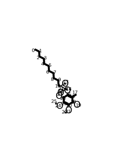 CCCCCCCCCCCS(=O)(=O)OC1=C(C)C(=O)C(OC)=C(OC)C1=O